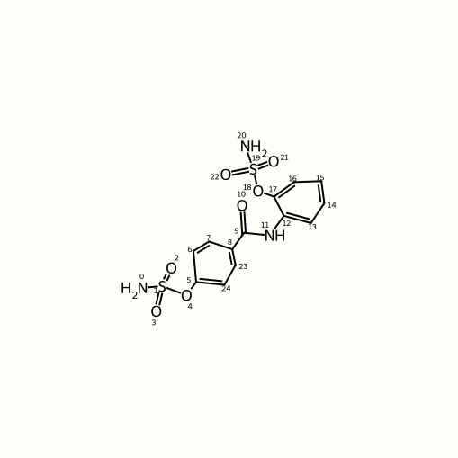 NS(=O)(=O)Oc1ccc(C(=O)Nc2ccccc2OS(N)(=O)=O)cc1